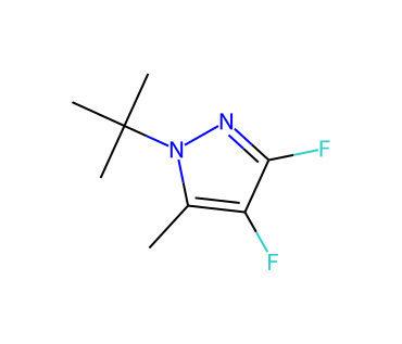 Cc1c(F)c(F)nn1C(C)(C)C